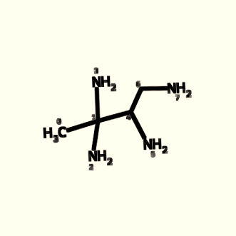 CC(N)(N)C(N)CN